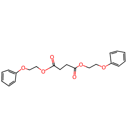 O=C(CCC(=O)OCCOc1ccccc1)OCCOc1ccccc1